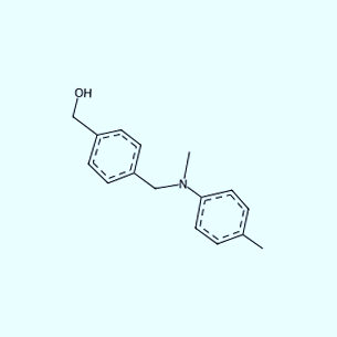 Cc1ccc(N(C)Cc2ccc(CO)cc2)cc1